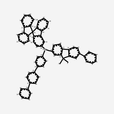 CC1(C)c2cc(-c3ccccc3)ccc2-c2ccc(N(c3ccc(-c4ccc(-c5ccccc5)cc4)cc3)c3ccc4c(c3)-c3ccccc3C43c4ccccc4-c4ccccc43)cc21